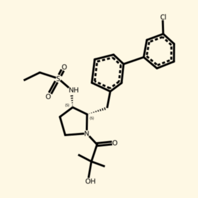 CCS(=O)(=O)N[C@H]1CCN(C(=O)C(C)(C)O)[C@H]1Cc1cccc(-c2cccc(Cl)c2)c1